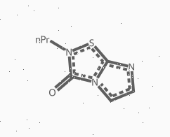 CCCn1sc2nccn2c1=O